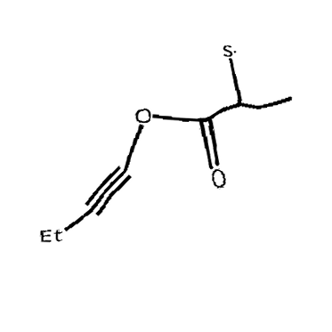 CCC#COC(=O)C(C)[S]